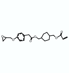 C=CC(=O)OCC1CCC(COC(=O)Cc2ccc(OCC3CO3)cc2)CC1